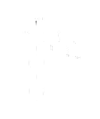 C[C@H](C[C@@H](Cc1ccc(-c2ccccc2)cc1)NC(=O)c1nc[nH]n1)C(=O)O